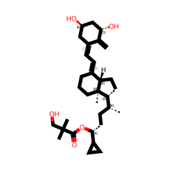 C=C1/C(=C\C=C2/CCC[C@]3(C)[C@@H]([C@H](C)CC[C@@H](OC(=O)C(C)(C)CO)C4CC4)CC[C@@H]23)C[C@@H](O)C[C@@H]1O